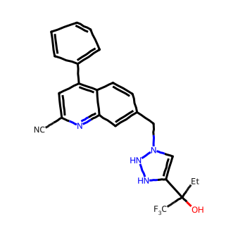 CCC(O)(C1=CN(Cc2ccc3c(-c4ccccc4)cc(C#N)nc3c2)NN1)C(F)(F)F